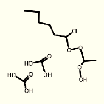 CCCCCC(Cl)OOC(C)OO.O=C(O)O.O=C(O)O